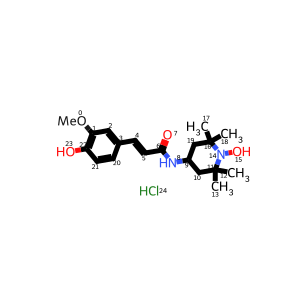 COc1cc(C=CC(=O)NC2CC(C)(C)N(O)C(C)(C)C2)ccc1O.Cl